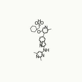 Cc1cc(-c2ccn3nc(Nc4cc(C)nc(C)n4)cc3c2)c(OC2(C[SH](=O)=O)CCCCC2)cn1